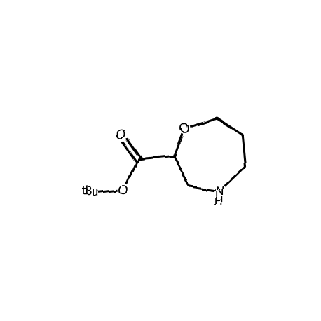 CC(C)(C)OC(=O)C1CNCCCO1